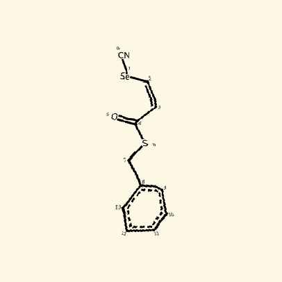 N#C[Se]/C=C\C(=O)SCc1ccccc1